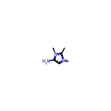 Cc1n(C)c(N)c[n+]1C